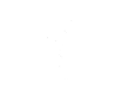 O=C(COCC1Cc2ccccc2CN1S(=O)(=O)c1ccc(Cl)cc1Cl)N1CCC(O)(c2ccc(Cl)cc2)CC1